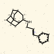 C(=C\c1ccccc1)/CNC12CC3CC4CC(C1)C4(C3)C2